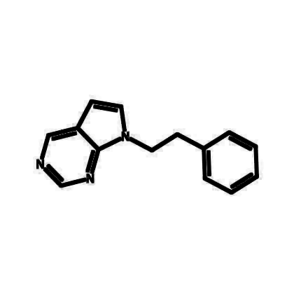 c1ccc(CCn2ccc3cncnc32)cc1